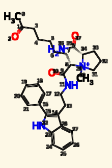 CC(=O)CCCCC[C@@H](C(=O)NCCc1c(-c2ccccc2)[nH]c2ccccc12)[N+]1(C)CCC[C@H]1C(N)=O